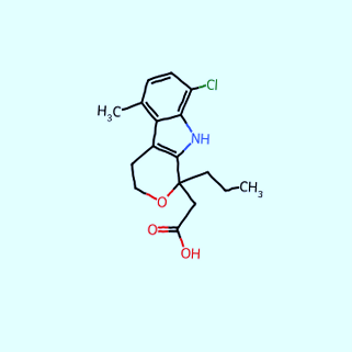 CCCC1(CC(=O)O)OCCc2c1[nH]c1c(Cl)ccc(C)c21